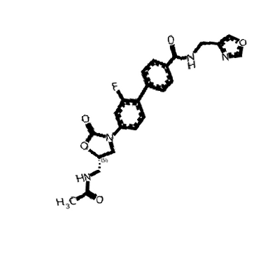 CC(=O)NC[C@H]1CN(c2ccc(-c3ccc(C(=O)NCc4cocn4)cc3)c(F)c2)C(=O)O1